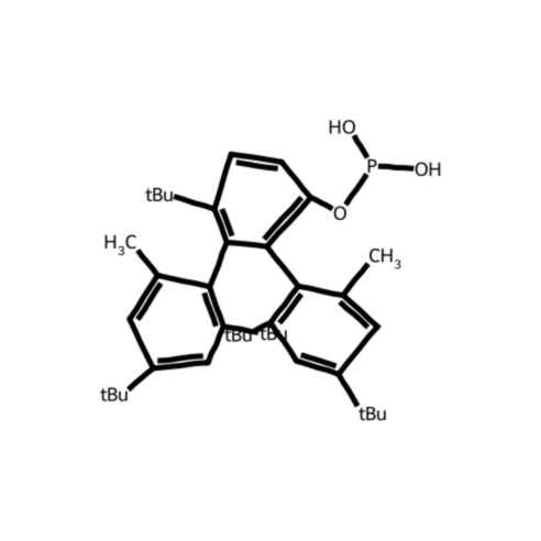 Cc1cc(C(C)(C)C)cc(C(C)(C)C)c1-c1c(OP(O)O)ccc(C(C)(C)C)c1-c1c(C)cc(C(C)(C)C)cc1C(C)(C)C